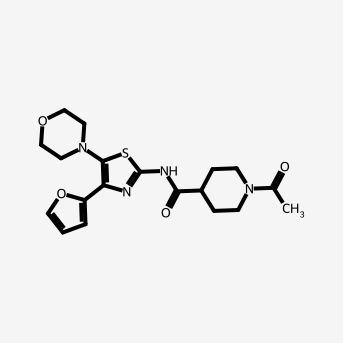 CC(=O)N1CCC(C(=O)Nc2nc(-c3ccco3)c(N3CCOCC3)s2)CC1